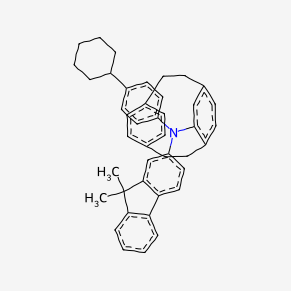 CC1(C)c2ccccc2-c2ccc(N(c3ccc(C4CCCCC4)cc3)c3cc4ccc3CCc3ccc(cc3)CC4)cc21